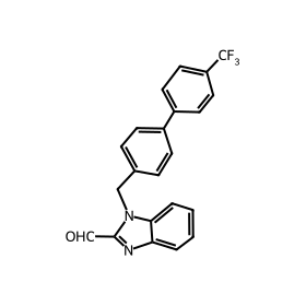 O=Cc1nc2ccccc2n1Cc1ccc(-c2ccc(C(F)(F)F)cc2)cc1